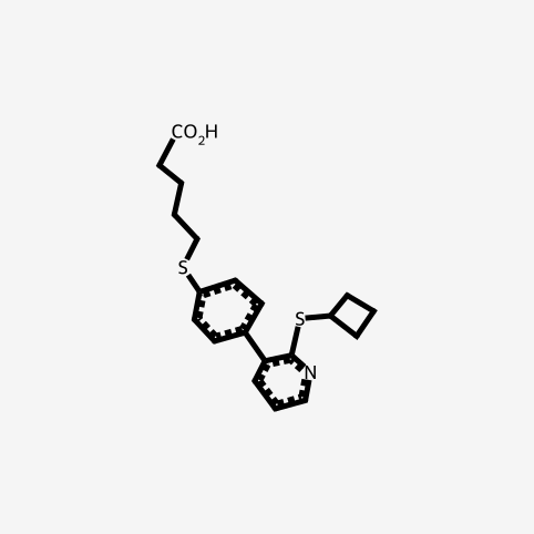 O=C(O)CCCCSc1ccc(-c2cccnc2SC2CCC2)cc1